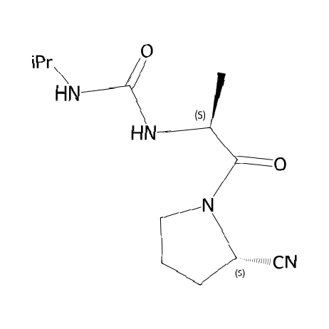 CC(C)NC(=O)N[C@@H](C)C(=O)N1CCC[C@H]1C#N